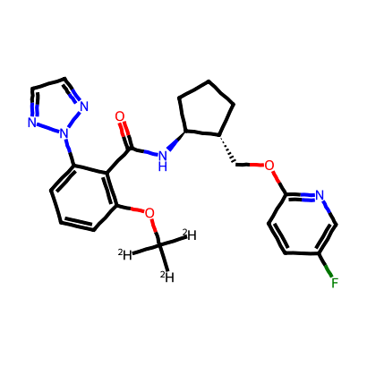 [2H]C([2H])([2H])Oc1cccc(-n2nccn2)c1C(=O)N[C@H]1CCC[C@@H]1COc1ccc(F)cn1